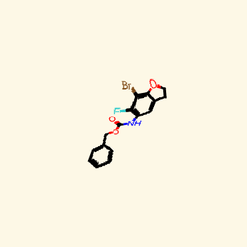 O=C(Nc1cc2c(c(Br)c1F)OCC2)OCc1ccccc1